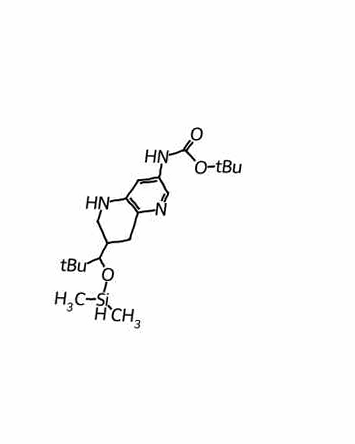 C[SiH](C)OC(C1CNc2cc(NC(=O)OC(C)(C)C)cnc2C1)C(C)(C)C